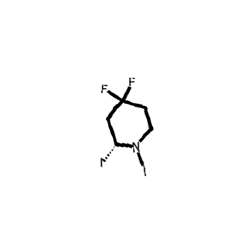 FC1(F)CCN(I)[C@H](I)C1